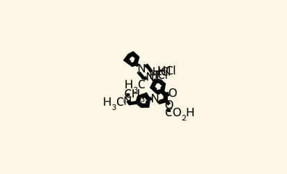 CC1CN(c2ccccc2)CCN1c1cc2c(cc1F)c(=O)c(OC(=O)O)cn2-c1ccc(CN(C)C)cc1.Cl.Cl.Cl